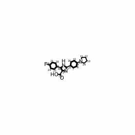 O=C(O)c1nc(-c2ccc(N3CCCC3)cc2)[nH]c1-c1ccc(F)cc1